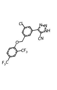 N#Cc1[nH]nnc1-c1cc(Cl)cc(COc2ccc(C(F)(F)F)cc2C(F)(F)F)c1